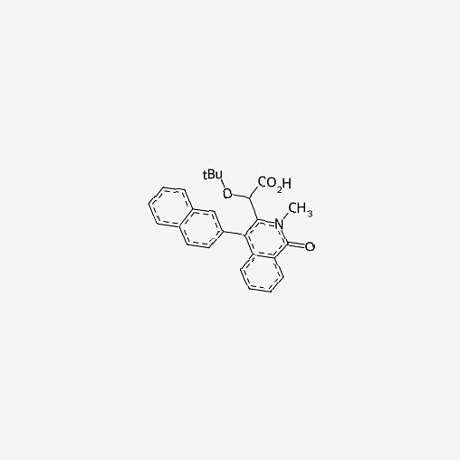 Cn1c(C(OC(C)(C)C)C(=O)O)c(-c2ccc3ccccc3c2)c2ccccc2c1=O